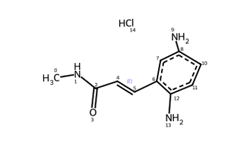 CNC(=O)/C=C/c1cc(N)ccc1N.Cl